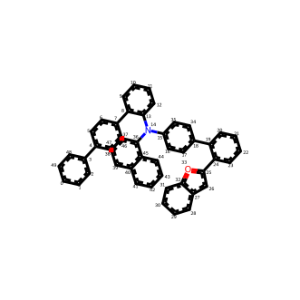 c1ccc(-c2ccc(-c3ccccc3N(c3ccc(-c4ccccc4-c4cc5ccccc5o4)cc3)c3cccc4ccccc34)cc2)cc1